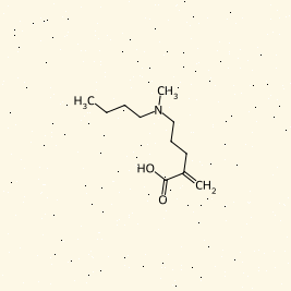 C=C(CCCN(C)CCCC)C(=O)O